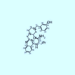 CC(C)[C@H](Nc1nc(CN2CCN(Cc3cccc(O)c3)CC2)nc2ccccc12)C(N)=O